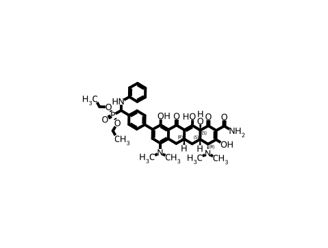 CCOP(=O)(OCC)C(Nc1ccccc1)c1ccc(-c2cc(N(C)C)c3c(c2O)C(=O)C2=C(O)[C@]4(O)C(=O)C(C(N)=O)=C(O)[C@H](N(C)C)[C@@H]4C[C@@H]2C3)cc1